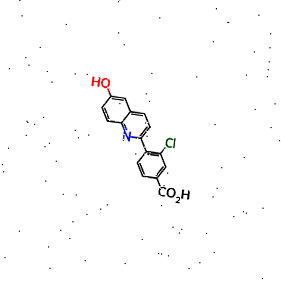 O=C(O)c1ccc(-c2ccc3cc(O)ccc3n2)c(Cl)c1